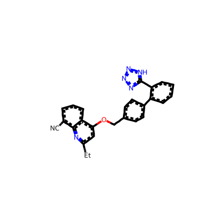 CCc1cc(OCc2ccc(-c3ccccc3-c3nnn[nH]3)cc2)c2cccc(C#N)c2n1